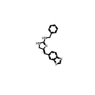 C(=C1\CNC(NCc2ccccc2)=N1)/c1ccc2ncsc2c1